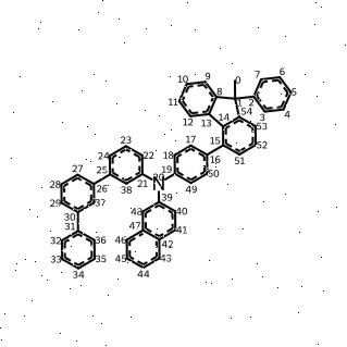 CC1(c2ccccc2)c2ccccc2-c2c(-c3ccc(N(c4cccc(-c5cccc(-c6ccccc6)c5)c4)c4ccc5ccccc5c4)cc3)cccc21